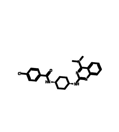 CN(C)c1nc(N[C@H]2CC[C@@H](NC(=O)c3ccc(Cl)cc3)CC2)nc2ccccc12